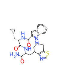 NC(=O)C(CC1CCCc2scnc21)NC(=O)[C@H](CC1CC1)NC(=O)c1cc2ccccc2[nH]1